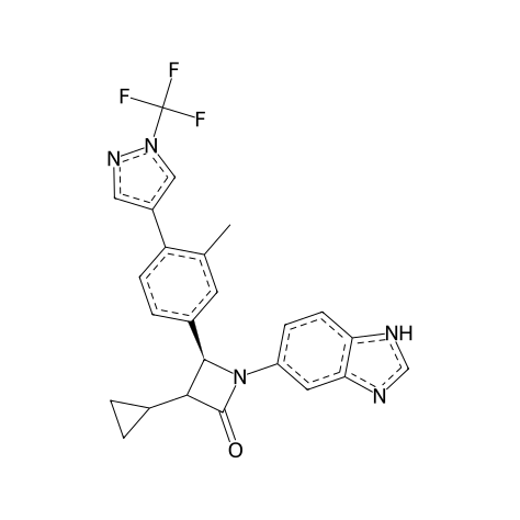 Cc1cc([C@@H]2C(C3CC3)C(=O)N2c2ccc3[nH]cnc3c2)ccc1-c1cnn(C(F)(F)F)c1